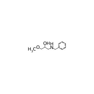 COCC(O)CNCc1ccccc1